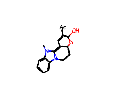 CC(=O)C1=CC2=C3N(C)c4ccccc4N3CCC2OC1O